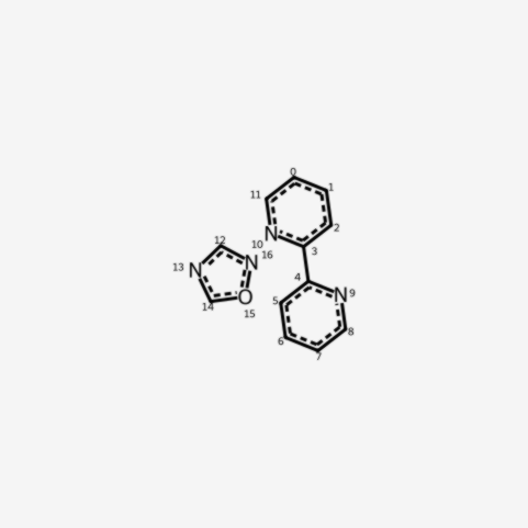 c1ccc(-c2ccccn2)nc1.c1ncon1